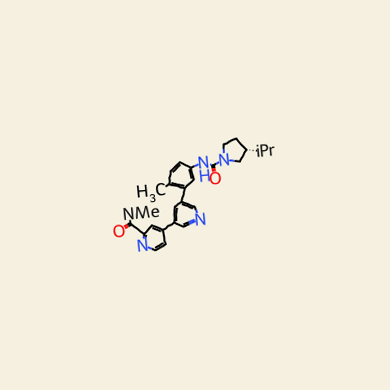 CNC(=O)c1cc(-c2cncc(-c3cc(NC(=O)N4CC[C@H](C(C)C)C4)ccc3C)c2)ccn1